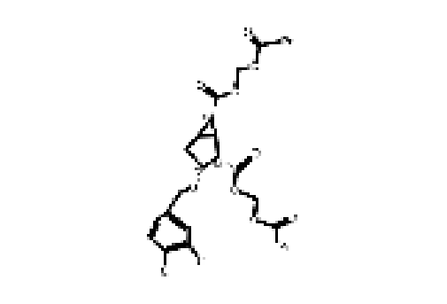 CC(C)C(=O)OCOC(=O)[C@H]1C2C[C@@H](OCc3ccc(Cl)c(Cl)c3)[C@@H](C(=O)OCOC(=O)C(C)C)C21